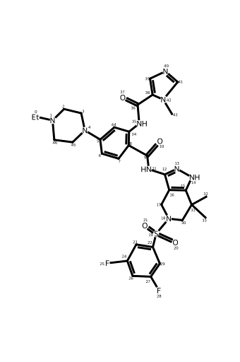 CCN1CCN(c2ccc(C(=O)Nc3n[nH]c4c3CN(S(=O)(=O)c3cc(F)cc(F)c3)CC4(C)C)c(NC(=O)c3cncn3C)c2)CC1